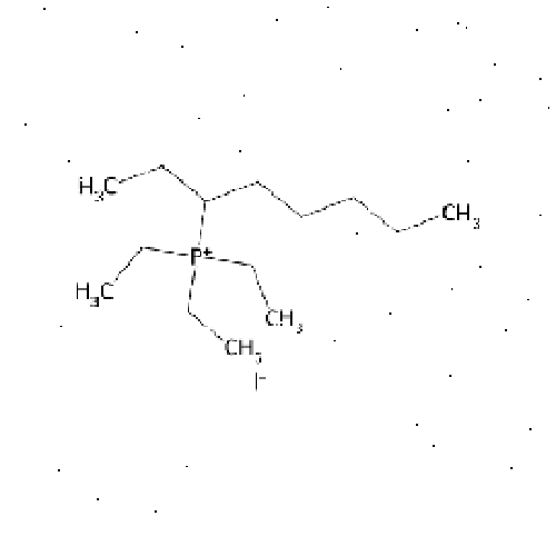 CCCCCC(CC)[P+](CC)(CC)CC.[I-]